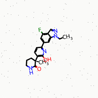 CCn1ncc2c(F)cc(-c3ccc([C@@]4(C)CCCNC4=O)c(O)n3)cc21